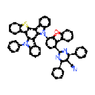 N#Cc1c(-c2ccccc2)nc(-c2ccc(-n3c4ccccc4c4c5sc6ccccc6c5c5c(c6ccccc6n5-c5ccccc5)c43)c3oc4ccccc4c23)nc1-c1ccccc1